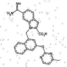 Cc1ccnc(Oc2cc(Cn3c(C(=O)O)cc4ccc(C(=N)N)cc43)c3ccccc3c2)n1